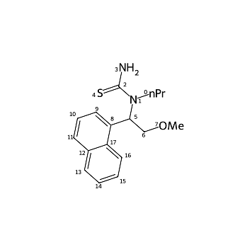 CCCN(C(N)=S)C(COC)c1cccc2ccccc12